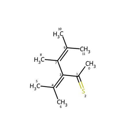 CC(=S)C(=C(C)C)C(C)=C(C)C